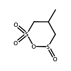 CC1CS(=O)OS(=O)(=O)C1